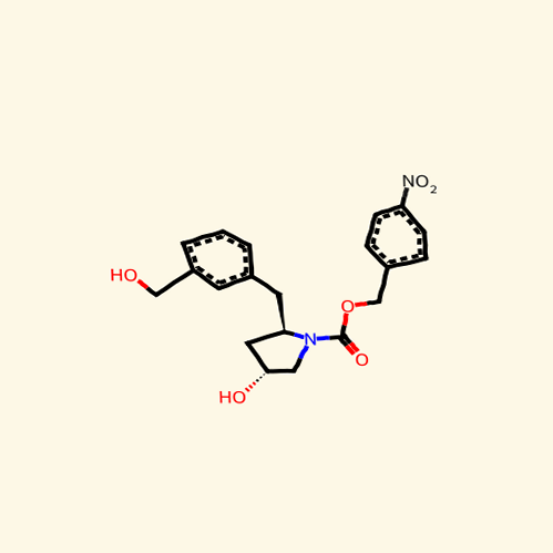 O=C(OCc1ccc([N+](=O)[O-])cc1)N1C[C@H](O)C[C@H]1Cc1cccc(CO)c1